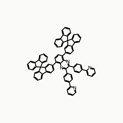 c1ccc(-c2ccc(-c3nc4c(-c5ccc6c(c5)C5(c7ccccc7-c7ccccc75)c5ccccc5-6)ccc(-c5ccc6c(c5)C5(c7ccccc7-c7ccccc75)c5ccccc5-6)c4nc3-c3ccc(-c4ccccn4)cc3)cc2)nc1